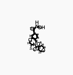 COC1(C(=O)N2Cc3ccc(C4OC4NO)cc3OC[C@@H]2C)CCOCC1